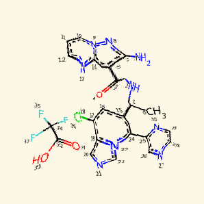 CC(NC(=O)c1c(N)nn2cccnc12)c1cc(Cl)c2cncn2c1-c1cnccn1.O=C(O)C(F)(F)F